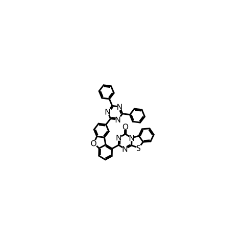 O=c1nc(-c2cccc3oc4ccc(-c5nc(-c6ccccc6)nc(-c6ccccc6)n5)cc4c23)nc2sc3ccccc3n12